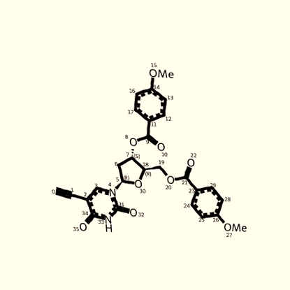 C#Cc1cn([C@H]2C[C@H](OC(=O)c3ccc(OC)cc3)[C@@H](COC(=O)c3ccc(OC)cc3)O2)c(=O)[nH]c1=O